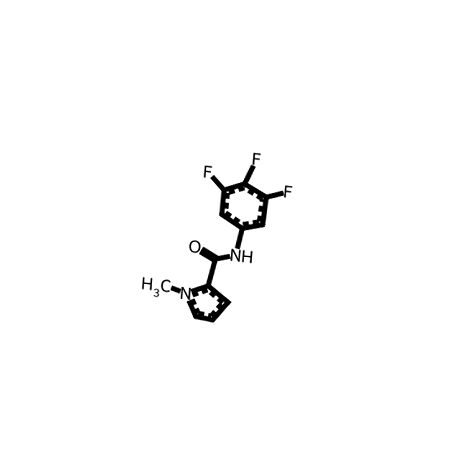 Cn1cccc1C(=O)Nc1cc(F)c(F)c(F)c1